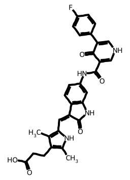 Cc1[nH]c(C=C2C(=O)Nc3cc(NC(=O)c4c[nH]cc(-c5ccc(F)cc5)c4=O)ccc32)c(C)c1CCC(=O)O